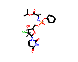 CC(C)OC(=O)[C@@H](C)N[P@@](=O)(OCC1OC(n2ccc(=O)[nH]c2=O)[C@](C)(Cl)[C@@H]1O)Oc1ccccc1